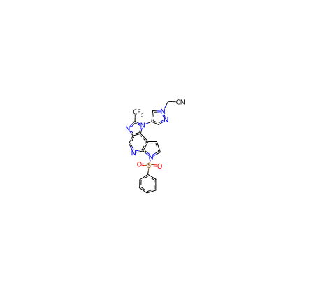 N#CCn1cc(-n2c(C(F)(F)F)nc3cnc4c(ccn4S(=O)(=O)c4ccccc4)c32)cn1